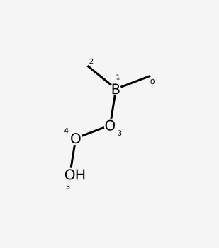 CB(C)OOO